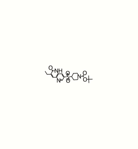 CCc1cc2ncc(S(=O)(=O)C3CCN(C(=O)OC(C)(C)C)CC3)cc2[nH]c1=O